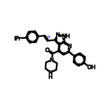 CC(C)c1ccc(/C=C/c2n[nH]c3nc(-c4ccc(O)cc4)cc(C(=O)N4CCNCC4)c23)cc1